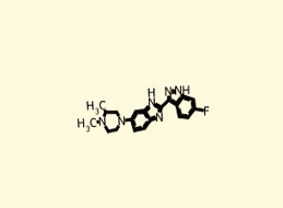 CC1CN(c2ccc3nc(-c4n[nH]c5cc(F)ccc45)[nH]c3c2)CCN1C